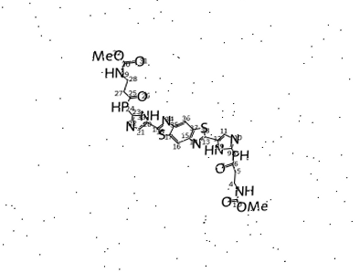 COC(=O)NCCC(=O)Pc1ncc(-c2nc3cc4sc(-c5cnc(PC(=O)CCNC(=O)OC)[nH]5)nc4cc3s2)[nH]1